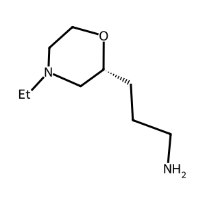 CCN1CCO[C@H](CCCN)C1